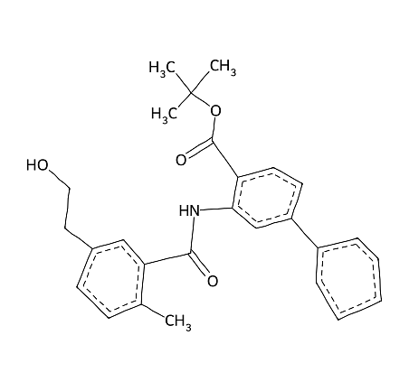 Cc1ccc(CCO)cc1C(=O)Nc1cc(-c2ccccc2)ccc1C(=O)OC(C)(C)C